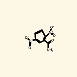 NC(=O)c1cc([N+](=O)[O-])ccc1[N+](=O)[O-]